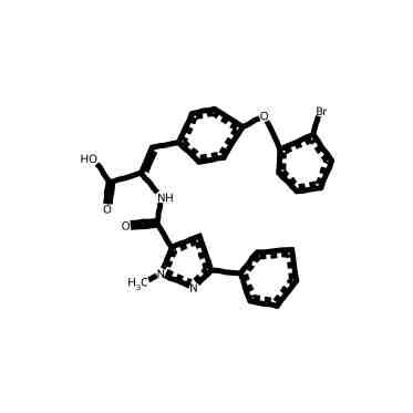 Cn1nc(-c2ccccc2)cc1C(=O)N/C(=C\c1ccc(Oc2ccccc2Br)cc1)C(=O)O